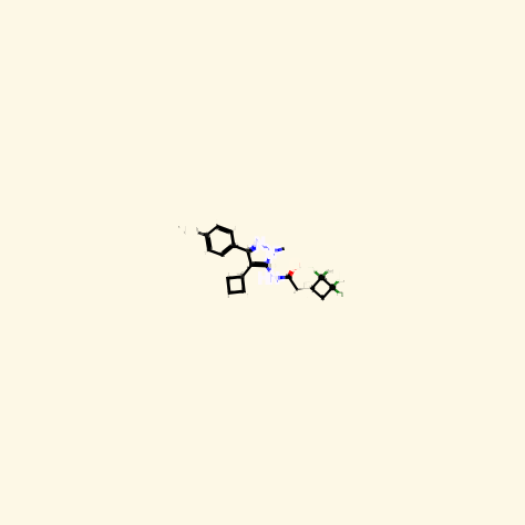 Cn1nc(-c2ccc(C#N)cc2)c(C2CCC2)c1NC(=O)C[C@@H]1CC(F)(F)C1(F)F